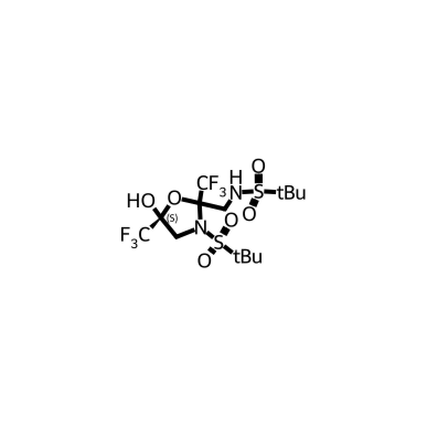 CC(C)(C)S(=O)(=O)NCC1(C(F)(F)F)O[C@](O)(C(F)(F)F)CN1S(=O)(=O)C(C)(C)C